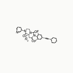 C[C@@]12CC(=O)N(c3c(F)cc(C#Cc4ccccc4)cc3F)C(=O)N1CCN(c1cccnc1)C2=O